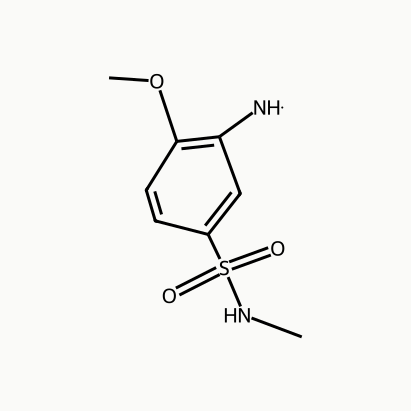 CNS(=O)(=O)c1ccc(OC)c([NH])c1